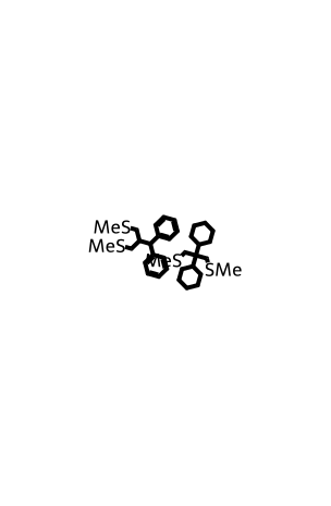 CSCC(CSC)(C1CCCCC1)C1CCCCC1.CSCC(CSC)C(c1ccccc1)c1ccccc1